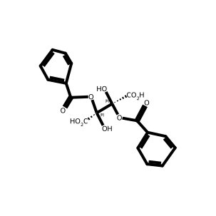 O=C(O[C@@](O)(C(=O)O)[C@@](O)(OC(=O)c1ccccc1)C(=O)O)c1ccccc1